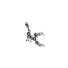 COCn1cc(-c2cc(-c3ccn(COC)n3)cc([C@@H](C)NC(=O)c3cc(OCCN4CC5(COC5)C4)ccc3C)c2)cn1